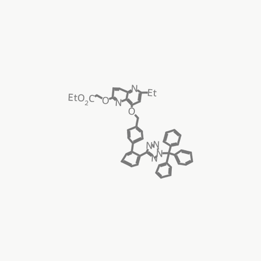 CCOC(=O)COc1ccc2nc(CC)cc(OCc3ccc(-c4ccccc4-c4nnn(C(c5ccccc5)(c5ccccc5)c5ccccc5)n4)cc3)c2n1